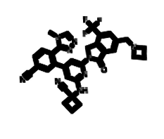 Cn1cnnc1-c1ccc(C#N)cc1-c1cc(NC2(C#N)CCC2)nc(N2Cc3c(cc(CN4CCC4)cc3C(F)(F)F)C2=O)c1